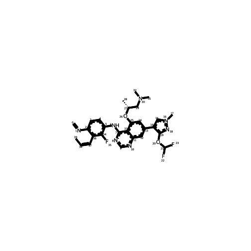 C=Nc1ccc(Nc2ncnc3cc(-c4cn(C)nc4OC(F)F)cc(O[C@H](C)CN(C)C)c23)c(F)c1/C=C\C